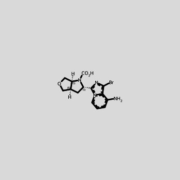 Nc1cccn2c([C@@H]3C[C@H]4COC[C@H]4N3C(=O)O)nc(Br)c12